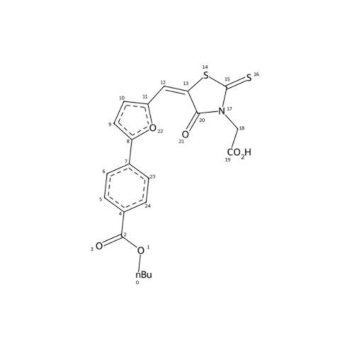 CCCCOC(=O)c1ccc(-c2ccc(C=C3SC(=S)N(CC(=O)O)C3=O)o2)cc1